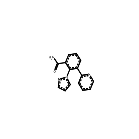 NC(=O)c1cccc(-c2ccccn2)c1-n1cccn1